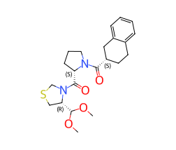 COC(OC)[C@@H]1CSCN1C(=O)[C@@H]1CCCN1C(=O)[C@H]1CCc2ccccc2C1